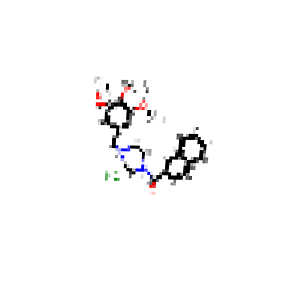 COc1cc(CN2CCN(C(=O)c3ccc4ccccc4c3)CC2)cc(OC)c1OC.Cl